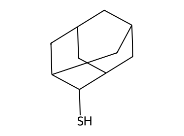 SC1C2CC3CC(C2)CC1C3